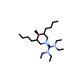 CCCCC(CC)C[N+](CC(CC)CCCC)=C(N(CC)CC)N(CC)CC